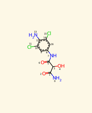 NC(=O)C(O)C(=O)Nc1cc(Cl)c(N)c(Cl)c1